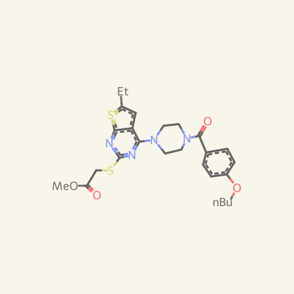 CCCCOc1ccc(C(=O)N2CCN(c3nc(SCC(=O)OC)nc4sc(CC)cc34)CC2)cc1